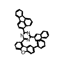 c1ccc(-c2ccc3oc4cccc(-c5nc(-c6ccc7ccccc7c6)nc(-c6ccc7c8c(cccc68)-c6ccccc6-7)n5)c4c3c2)cc1